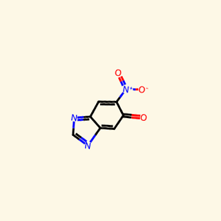 O=C1C=C2N=CN=C2C=C1[N+](=O)[O-]